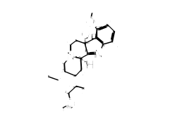 CC[C@@H]1CN2CC[C@@]3(O)C(=Nc4cccc(OC)c43)[C@@H]2C[C@@H]1C(C)COC